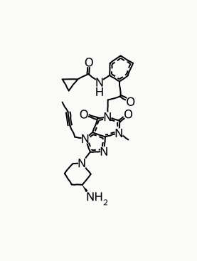 CC#CCn1c(N2CCC[C@H](N)C2)nc2c1c(=O)n(CC(=O)c1ccccc1NC(=O)C1CC1)c(=O)n2C